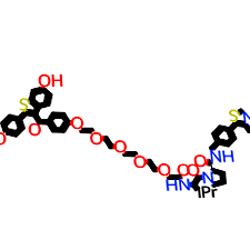 Cc1ncsc1-c1ccc(CNC(=O)[C@@H]2CCCN2C(=O)C(NC(=O)COCCOCCOCCOCCOc2ccc(C(=O)c3c(-c4ccc(O)cc4)sc4cc(O)ccc34)cc2)C(C)C)cc1